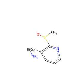 CCN.C[S+]([O-])c1ncccc1C(=O)O